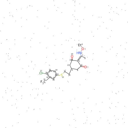 CCONC(C)=C1C(=O)CC(CCSc2ccc(Cl)c(C(F)(F)F)c2)CC1=O